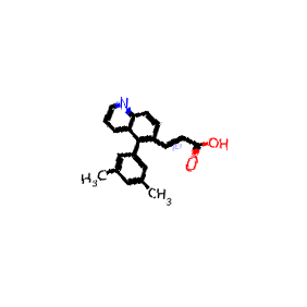 Cc1cc(C)cc(-c2c(/C=C/C(=O)O)ccc3ncccc23)c1